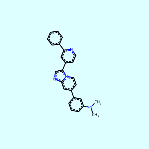 CN(C)c1cccc(-c2ccn3c(-c4ccnc(-c5ccccc5)c4)cnc3c2)c1